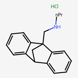 CCCNCC12CC(c3ccccc31)c1ccccc12.Cl